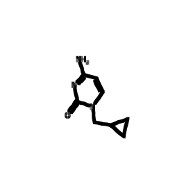 Nc1ccn(CC2CC2)c(=O)n1